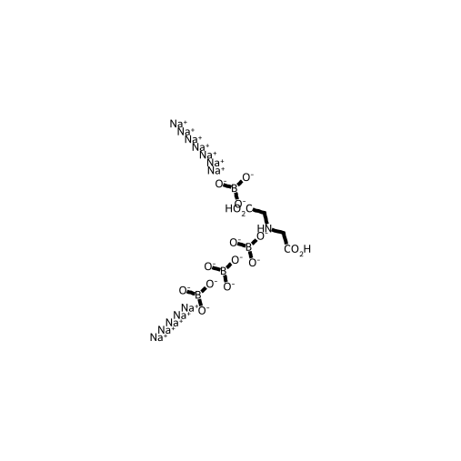 O=C(O)CNCC(=O)O.[Na+].[Na+].[Na+].[Na+].[Na+].[Na+].[Na+].[Na+].[Na+].[Na+].[Na+].[Na+].[O-]B([O-])[O-].[O-]B([O-])[O-].[O-]B([O-])[O-].[O-]B([O-])[O-]